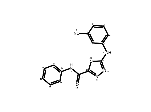 N#Cc1cccc(Nc2nnc(C(=O)Nc3ccccc3)o2)c1